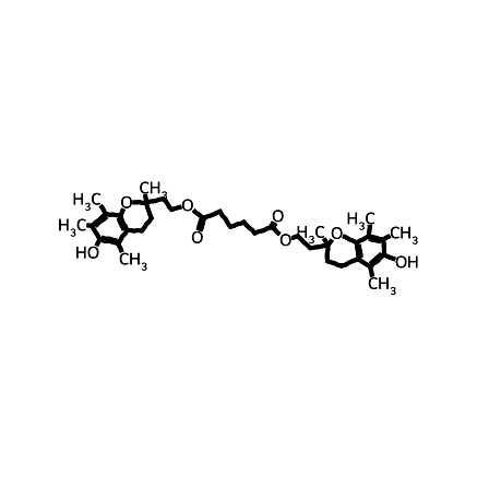 Cc1c(C)c2c(c(C)c1O)CCC(C)(CCOC(=O)CCCCC(=O)OCCC1(C)CCc3c(C)c(O)c(C)c(C)c3O1)O2